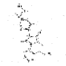 C=CCc1ccccc1N1C(=O)N(c2ccc(/C(C)=N/O)cc2)C(=O)C1C